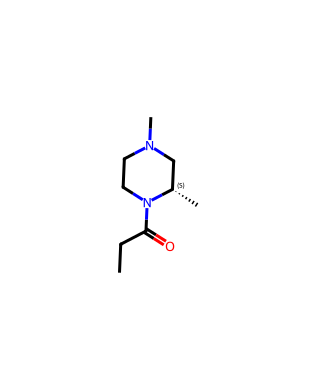 CCC(=O)N1CCN(C)C[C@@H]1C